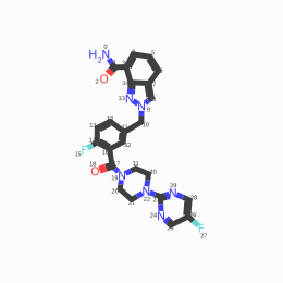 NC(=O)c1cccc2cn(Cc3ccc(F)c(C(=O)N4CCN(c5ncc(F)cn5)CC4)c3)nc12